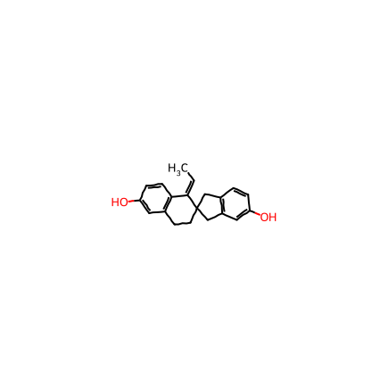 CC=C1c2ccc(O)cc2CCC12Cc1ccc(O)cc1C2